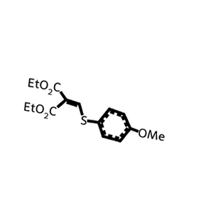 CCOC(=O)C(=CSc1ccc(OC)cc1)C(=O)OCC